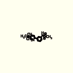 CC(C)(C)c1ccc(-c2cccc(NS(C)(=O)=O)c2)nc1